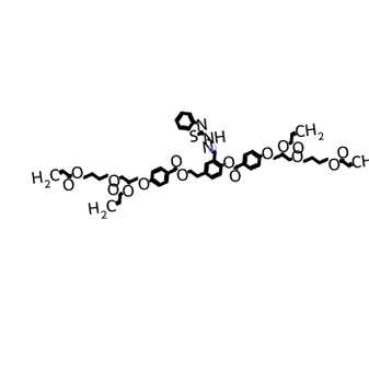 C=CC(=O)OCCCCOCC(COc1ccc(C(=O)OCCc2ccc(OC(=O)c3ccc(OCC(COCCCCOC(=O)C=C)OC(=O)C=C)cc3)c(/C=N/Nc3nc4ccccc4s3)c2)cc1)OC(=O)C=C